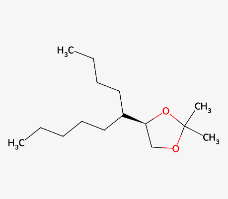 CCCCCC(CCCC)[C@@H]1COC(C)(C)O1